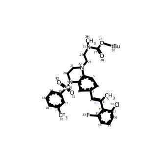 C/C(=C\c1ccc2c(c1)N(S(=O)(=O)c1cccc(C(F)(F)F)c1)CCN2CCN(C)C(=O)OC(C)(C)C)c1c(F)cccc1Cl